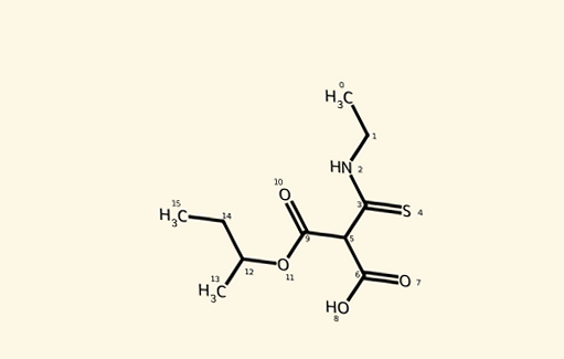 CCNC(=S)C(C(=O)O)C(=O)OC(C)CC